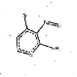 Nc1nccc(Br)c1N=O